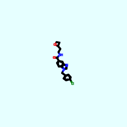 O=C(NCCC1CCO1)c1ccc2c(c1)ncn2Cc1ccc(Cl)cc1